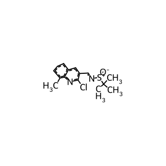 Cc1cccc2cc(C=N[S@+]([O-])C(C)(C)C)c(Cl)nc12